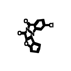 O=c1c2ccc(Cl)cc2n2c3c(oc4ccccc43)c(=O)n12